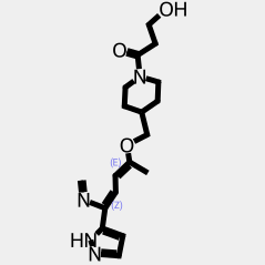 C=N/C(=C\C=C(/C)OCC1CCN(C(=O)CCO)CC1)c1ccn[nH]1